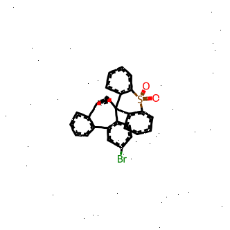 O=S1(=O)c2ccccc2C2(c3ccccc3-c3ccccc3-c3cc(Br)ccc32)c2ccccc21